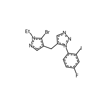 CCn1ncc(Cc2cnnn2-c2ccc(F)cc2I)c1Br